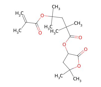 C=C(C)C(=O)OC(C)(C)CC(C)(C)C(=O)OC1CC(C)(C)OC1=O